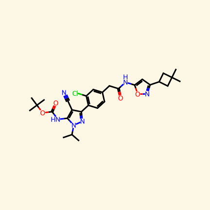 CC(C)n1nc(-c2ccc(CC(=O)Nc3cc(C4CC(C)(C)C4)no3)cc2Cl)c(C#N)c1NC(=O)OC(C)(C)C